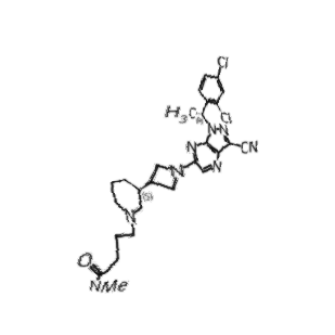 CNC(=O)CCCN1CCC[C@@H](C2CN(c3cnc4c(C#N)nn([C@H](C)c5ccc(Cl)cc5Cl)c4n3)C2)C1